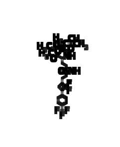 CC(C)(C)OC(=O)N[C@@H](CCS(=N)(=O)CCC12CC(c3ccc(C(F)(F)F)cc3)(C1)C2(F)F)C(=O)OC(C)(C)C